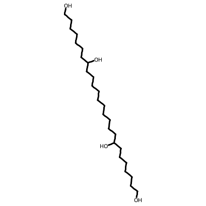 OCCCCCCCC(O)CCCCCCCCCCC(O)CCCCCCCO